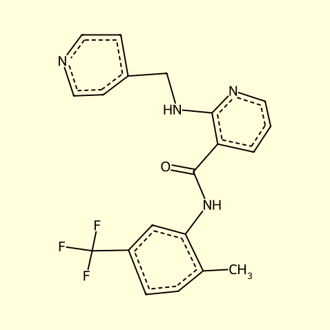 Cc1ccc(C(F)(F)F)cc1NC(=O)c1cccnc1NCc1ccncc1